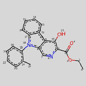 CCOC(=O)c1ncc2c(c1O)c1ccccc1n2-c1ccccc1C